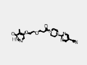 Cc1c(OCCOCCC(=O)N2CCN(c3ncc(C#N)cn3)CC2)cn[nH]c1=O